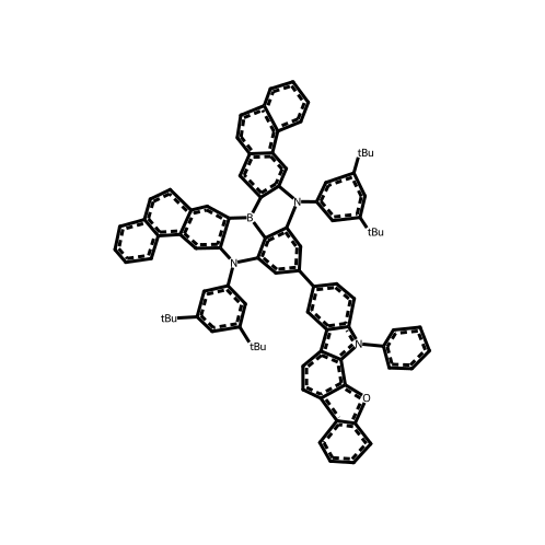 CC(C)(C)c1cc(N2c3cc4c(ccc5ccccc54)cc3B3c4cc5ccc6ccccc6c5cc4N(c4cc(C(C)(C)C)cc(C(C)(C)C)c4)c4cc(-c5ccc6c(c5)c5ccc7c8ccccc8oc7c5n6-c5ccccc5)cc2c43)cc(C(C)(C)C)c1